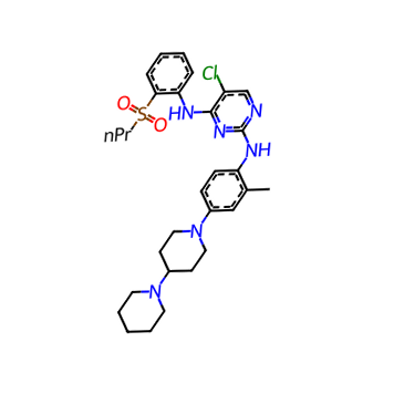 CCCS(=O)(=O)c1ccccc1Nc1nc(Nc2ccc(N3CCC(N4CCCCC4)CC3)cc2C)ncc1Cl